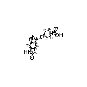 O=C1Cc2cc3c(CCC4CCN(C(=O)O)CC4)noc3cc2N1